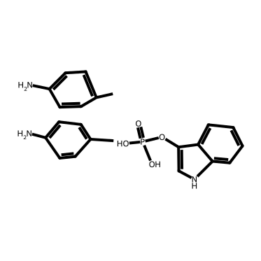 Cc1ccc(N)cc1.Cc1ccc(N)cc1.O=P(O)(O)Oc1c[nH]c2ccccc12